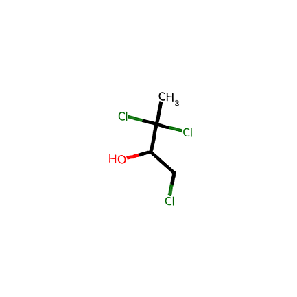 CC(Cl)(Cl)C(O)CCl